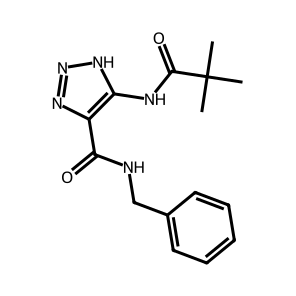 CC(C)(C)C(=O)Nc1[nH]nnc1C(=O)NCc1ccccc1